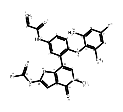 C=CC(=O)Nc1ccc(Nc2c(C)cc(F)cc2C)c(-c2cn(C)c(=O)c3cc(NC(=O)CC)oc23)c1